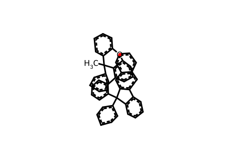 CC1(c2ccccc2)c2ccccc2Oc2cccc(-c3ccccc3C3(c4ccccc4)c4ccccc4-c4cc5ccccc5cc43)c21